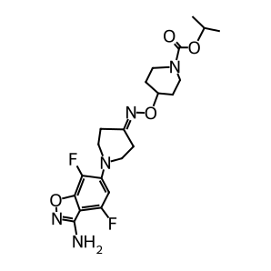 CC(C)OC(=O)N1CCC(ON=C2CCN(c3cc(F)c4c(N)noc4c3F)CC2)CC1